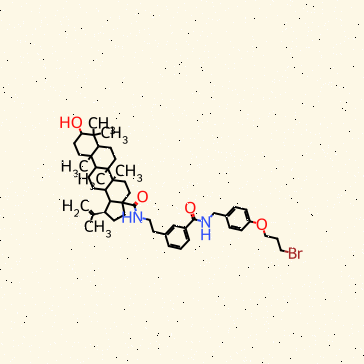 C=C(C)[C@@H]1CCC2(C(=O)NCCc3cccc(C(=O)NCc4ccc(OCCCBr)cc4)c3)CC[C@]3(C)C(CCC4C5(C)CCC(O)C(C)(C)C5CCC43C)C12